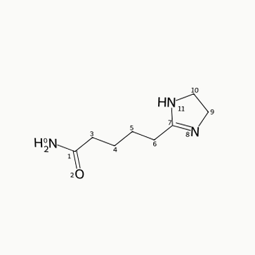 NC(=O)CCCCC1=NCCN1